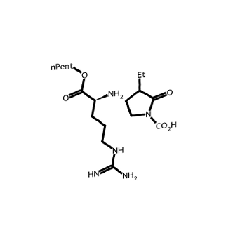 CCC1CCN(C(=O)O)C1=O.CCCCCOC(=O)[C@@H](N)CCCNC(=N)N